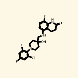 O=C1CCc2c(NCC3(O)CCN(c4c(F)cc(F)cc4Cl)CC3)ccc(F)c2N1